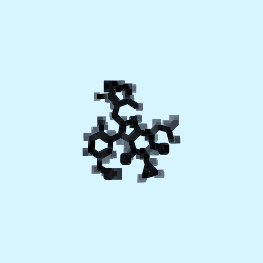 Cc1n[nH]c(C)c1Cc1sc2c(c1-c1cc(CO)ccc1F)c(=O)n(C1CC1)c(=O)n2CC(C)C